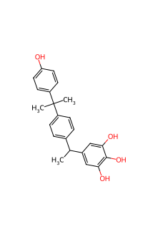 CC(c1ccc(C(C)(C)c2ccc(O)cc2)cc1)c1cc(O)c(O)c(O)c1